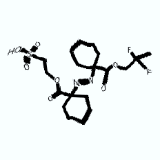 CC(F)(F)COC(=O)C1(N=NC2(C(=O)OCCS(=O)(=O)O)CCCCC2)CCCCC1